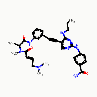 CCCNc1nc(Nc2ccc(C(N)=O)cc2)ncc1C#Cc1cccc(NC(=O)C(C)N(C)C(=O)C=CCN(C)C)c1